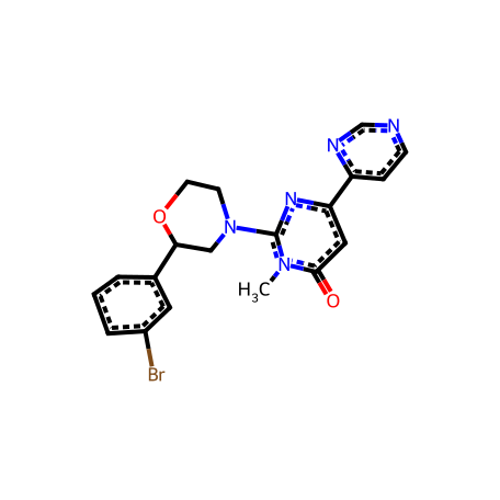 Cn1c(N2CCOC(c3cccc(Br)c3)C2)nc(-c2ccncn2)cc1=O